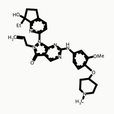 C=CCn1c(=O)c2cnc(Nc3ccc(OC4CCN(C)CC4)c(OC)c3)nc2n1-c1ccc2c(n1)C(O)(CC)CC2